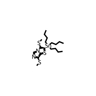 CCC[CH2][Sn]([CH2]CCC)([CH2]CCC)[c]1sc2c(SC)ncn2c1SC